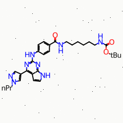 CCCn1cc(-c2nc(Nc3ccc(C(=O)NCCCCCCNC(=O)OC(C)(C)C)cc3)nc3[nH]ccc23)cn1